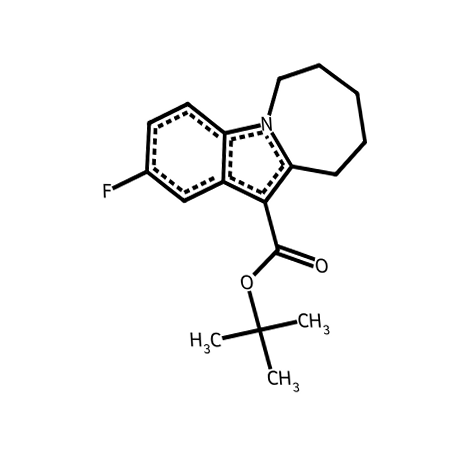 CC(C)(C)OC(=O)c1c2n(c3ccc(F)cc13)CCCCC2